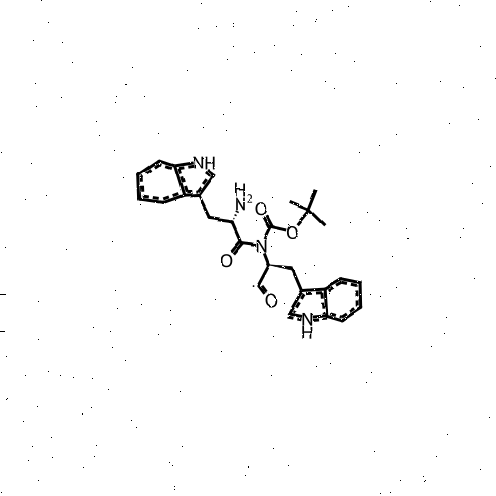 CC(C)(C)OC(=O)N(C(=O)[C@@H](N)Cc1c[nH]c2ccccc12)[C@H]([C]=O)Cc1c[nH]c2ccccc12